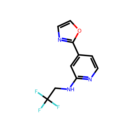 FC(F)(F)CNc1cc(-c2ncco2)ccn1